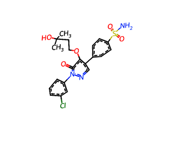 CC(C)(O)CCOc1c(-c2ccc(S(N)(=O)=O)cc2)cnn(-c2cccc(Cl)c2)c1=O